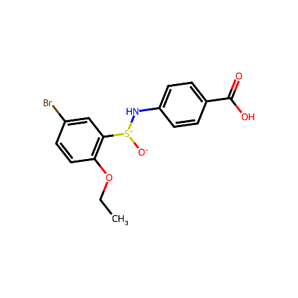 CCOc1ccc(Br)cc1[S+]([O-])Nc1ccc(C(=O)O)cc1